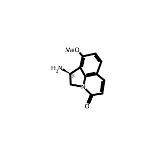 COc1ccc2ccc(=O)n3c2c1[C@H](N)C3